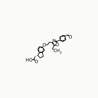 CCc1oc(-c2ccc(C=O)cc2)nc1CCOc1ccc2c(c1)CC[C@@H]2CC(=O)O